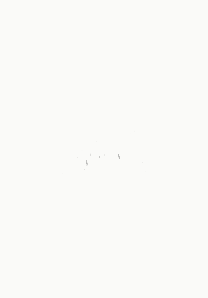 O=C(OOOC(=O)C1(C2CCC3OC3C2)CCC2OC2C1)C1(C2CCC3OC3C2)CCC2OC2C1